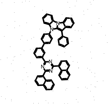 c1ccc(-c2c3ccccc3n3c4ccccc4n(-c4ccc(-c5cccc(-c6nc(-c7cccc8ccccc78)nc(-c7cccc8ccccc78)n6)c5)cc4)c23)cc1